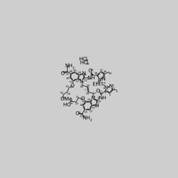 CCn1nc(C)cc1C(=O)Nc1nc2cc(C(N)=O)cc(OCCCO)c2n1C/C=C/Cn1c(NC(=O)c2cc(C)nn2CC)nc2cc(C(N)=O)cc(OCCCOC)c21.Cl.Cl